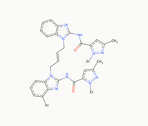 CCn1nc(C)cc1C(=O)Nc1nc2ccccc2n1CC=CCn1c(NC(=O)c2cc(C)nn2CC)nc2c(C(C)=O)cccc21